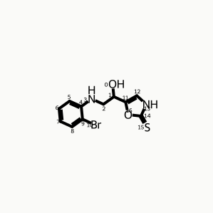 OC(CNc1ccccc1Br)c1c[nH]c(=S)o1